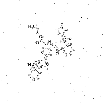 C=CCOC(=O)n1nc(NC(=O)c2ccccc2NC(=O)c2cc[nH]c2)c2cc(C(=O)NC(C)(C)c3ccccc3)sc21